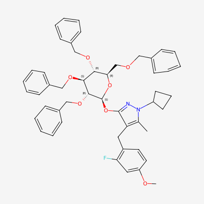 COc1ccc(Cc2c(O[C@@H]3O[C@H](COCc4ccccc4)[C@@H](OCc4ccccc4)[C@H](OCc4ccccc4)[C@H]3OCc3ccccc3)nn(C3CCC3)c2C)c(F)c1